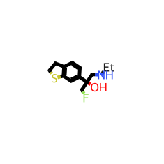 CCNCC(O)(CF)c1ccc2c(c1)SCC2